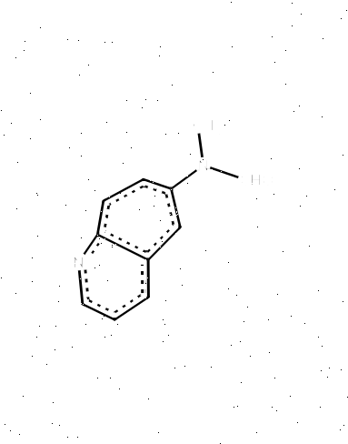 CN(C=O)c1ccc2nc[c]cc2c1